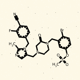 Cc1ncc(CN2CCN(Cc3cc(OS(C)(=O)=O)ccc3Br)C(=O)C2)n1Cc1ccc(C#N)c(F)c1